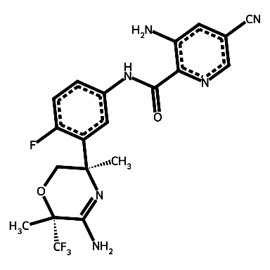 C[C@@]1(c2cc(NC(=O)c3ncc(C#N)cc3N)ccc2F)CO[C@@](C)(C(F)(F)F)C(N)=N1